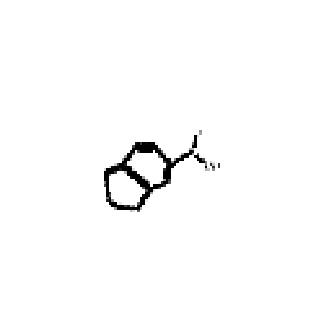 OB(O)c1ccc2c(c1)CCC2